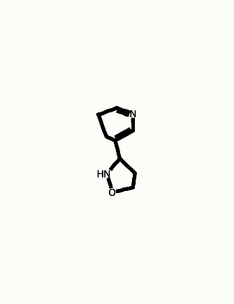 C1=NC=C(C2CCON2)CC1